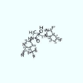 C[C@](O)(Cn1nc(F)c2cc(F)ccc21)C(=O)Nc1cnc(C#N)c(C(F)(F)F)c1